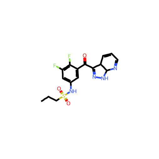 CCCS(=O)(=O)Nc1cc(F)c(F)c(C(=O)C2=NNC3N=CC=CC23)c1